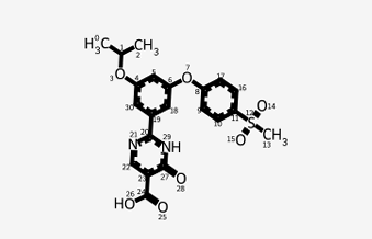 CC(C)Oc1cc(Oc2ccc(S(C)(=O)=O)cc2)cc(-c2ncc(C(=O)O)c(=O)[nH]2)c1